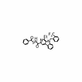 CCc1nc(C(=O)NSC(=O)c2ccccc2)cc2c3ccccc3n(Cc3ccccc3C(F)(F)F)c12